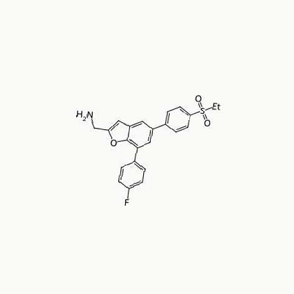 CCS(=O)(=O)c1ccc(-c2cc(-c3ccc(F)cc3)c3oc(CN)cc3c2)cc1